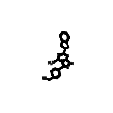 Nc1nc(C2Cc3ccccc3C2)nc2[nH]nc(-c3ccc(CO)cc3)c12